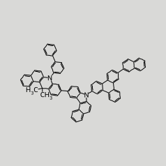 CC1(C)c2ccc(-c3ccc4c(c3)c3c5ccccc5ccc3n4-c3ccc4c5ccc(-c6ccc7ccccc7c6)cc5c5ccccc5c4c3)cc2N(c2cccc(-c3ccccc3)c2)c2ccc3ccccc3c21